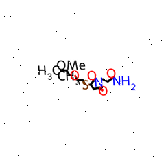 COC(C)(C)CCOCCSC1CC(=O)N(CCC(N)=O)C1=O